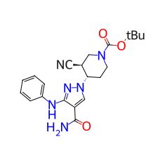 CC(C)(C)OC(=O)N1CC[C@H](n2cc(C(N)=O)c(Nc3ccccc3)n2)[C@@H](C#N)C1